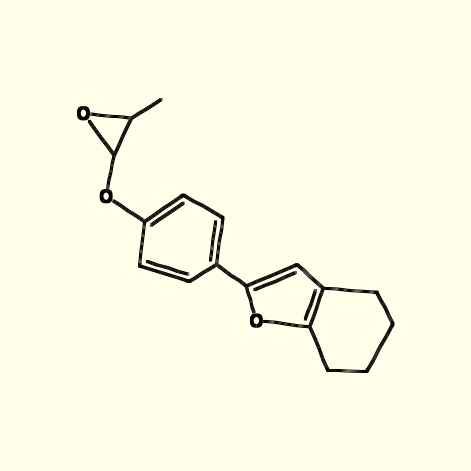 CC1OC1Oc1ccc(-c2cc3c(o2)CCCC3)cc1